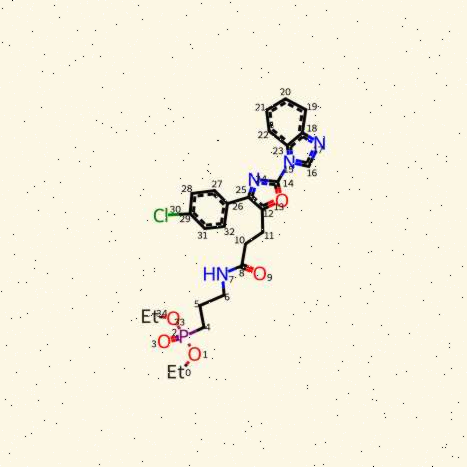 CCOP(=O)(CCCNC(=O)CCc1oc(-n2cnc3ccccc32)nc1-c1ccc(Cl)cc1)OCC